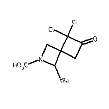 CC(C)(C)C1N(C(=O)O)CC12CC(=O)C2(Cl)Cl